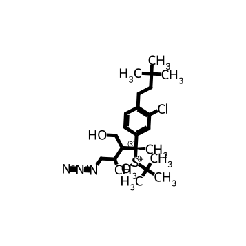 CC(CN=[N+]=[N-])C(CO)[C@](C)(c1ccc(CCC(C)(C)C)c(Cl)c1)[S@@+]([O-])C(C)(C)C